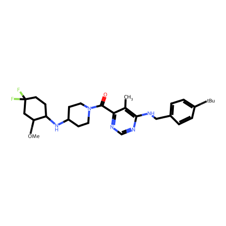 COC1CC(F)(F)CCC1NC1CCN(C(=O)c2ncnc(NCc3ccc(C(C)(C)C)cc3)c2C)CC1